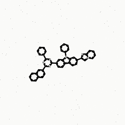 c1ccc(-c2nc(-c3ccc4ccccc4c3)nc(-c3ccc4c5ccc(-c6cn7ccccc7n6)cc5n(-c5ccccc5)c4c3)n2)cc1